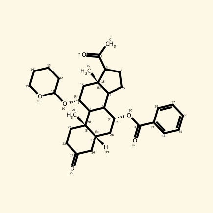 CC(=O)C1CCC2C3C([C@H](OC4CCCCO4)C[C@]12C)[C@@]1(C)CCC(=O)C[C@H]1C[C@H]3OC(=O)c1ccccc1